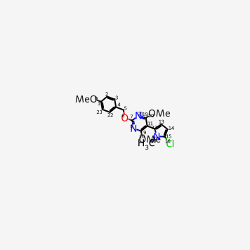 COc1ccc(COc2nc(OC)c(-c3ccc(Cl)n3C)c(OC)n2)cc1